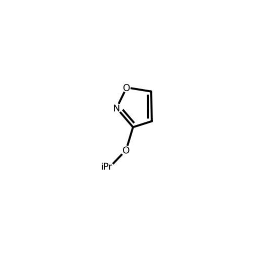 CC(C)Oc1ccon1